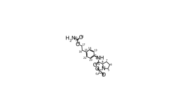 CS(=O)(=O)N1CCCC1C(=O)Nc1ccc(CCOC(N)=O)cc1